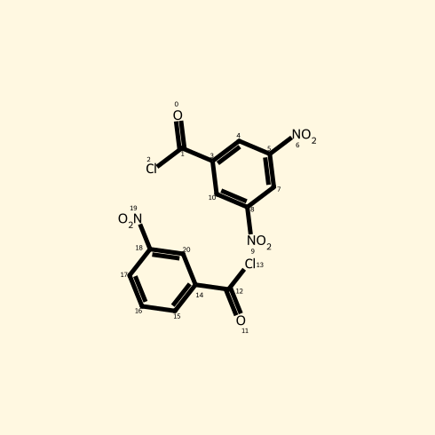 O=C(Cl)c1cc([N+](=O)[O-])cc([N+](=O)[O-])c1.O=C(Cl)c1cccc([N+](=O)[O-])c1